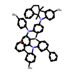 Cc1cc2c3c(c1)N(c1ccc(C(C)(C)C)cc1-c1ccccc1)c1cc(-c4ccccc4)ccc1B3c1ccc(N3c4ccc(C(C)(C)C)cc4C4(C)CCc5ccccc5C34C)cc1N2c1ccc(C(C)(C)C)cc1